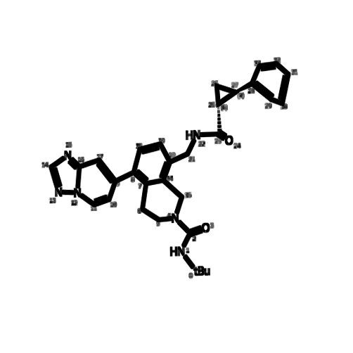 CC(C)(C)NC(=O)N1CCc2c(-c3ccn4ncnc4c3)ccc(CNC(=O)[C@@H]3C[C@H]3c3ccccc3)c2C1